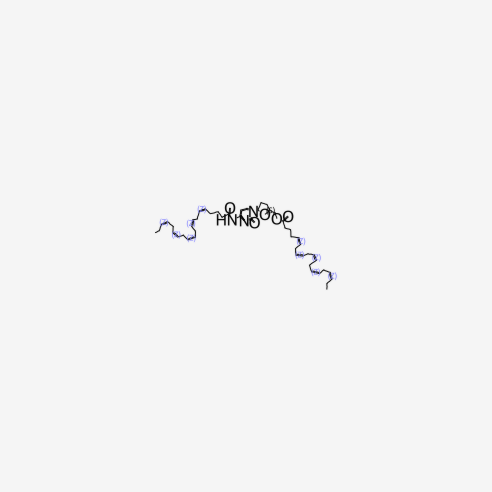 CC/C=C\C/C=C\C/C=C\C/C=C\C/C=C\CCCC(=O)Nc1ccn(C2CC[C@@H](COC(=O)CCC/C=C\C/C=C\C/C=C\C/C=C\C/C=C\CC)O2)c(=O)n1